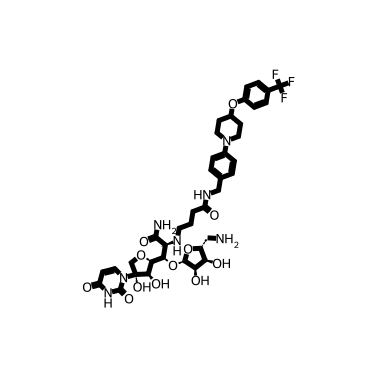 NC[C@H]1O[C@@H](O[C@H]([C@H]2OC[C@](O)(n3ccc(=O)[nH]c3=O)[C@@H]2O)[C@H](NCCCC(=O)NCc2ccc(N3CCC(Oc4ccc(C(F)(F)F)cc4)CC3)cc2)C(N)=O)[C@H](O)[C@@H]1O